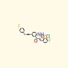 O=C1/C(=C/c2ccc(F)c(Cl)c2)[S+]([O-])Nc2ccc(C#CCc3ccc(F)cc3)cc21